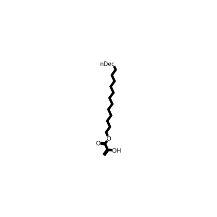 C=C(O)C(=O)OCCCCCCCCCCCCCCCCCCCCCC